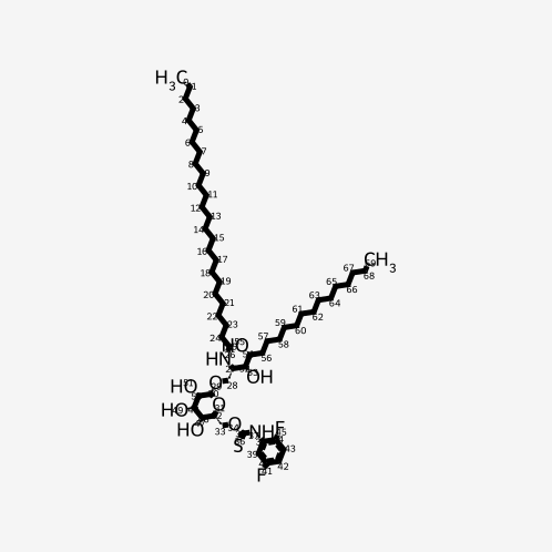 CCCCCCCCCCCCCCCCCCCCCCCCCCN[C@@H](CO[C@@H]1O[C@H](COC(=S)Nc2cc(F)ccc2F)[C@H](O)[C@H](O)[C@H]1O)[C@H](O)[C@H](O)CCCCCCCCCCCCCC